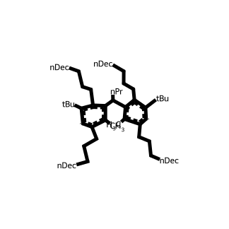 CCCCCCCCCCCCCc1[c]c(C(C)(C)C)c(CCCCCCCCCCCCC)c(C(CCC)c2c(C)c(CCCCCCCCCCCCC)[c]c(C(C)(C)C)c2CCCCCCCCCCCCC)c1C